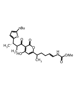 CCCCc1ccc([C@@H](C)C(C)C(=O)c2c(O)cc(C(C)CC/C=C/NC(=O)OC)oc2=O)s1